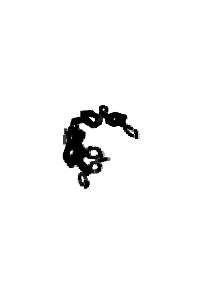 COC(=O)c1ccc2nn(CC3CCN(C(=O)c4ccc(Cl)cc4)CC3)cc2c1OC